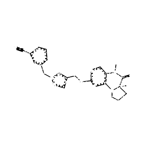 CN1C(=O)[C@@H]2CCCN2c2nc(NCc3cnn(Cc4cccc(C#N)c4)c3)ncc21